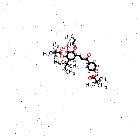 CCCOc1c(C=CC(=O)c2ccc(OC(=O)C(C)(C)C)cc2)cc(C(C)(C)CC)c(OC(=O)C(C)(C)C)c1OC